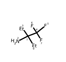 CCC(N)(CC)C(F)(F)F